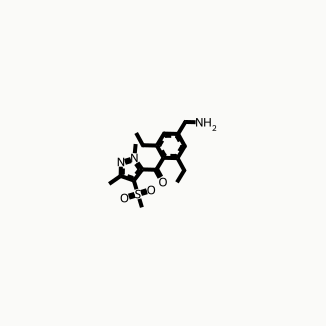 CCc1cc(CN)cc(CC)c1C(=O)c1c(S(C)(=O)=O)c(C)nn1C